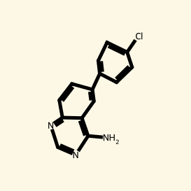 Nc1ncnc2ccc(-c3ccc(Cl)cc3)cc12